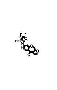 C[C@@](O)(C(=O)Nc1ccc2c(c1)OCc1occc1C2=O)C(F)(F)F